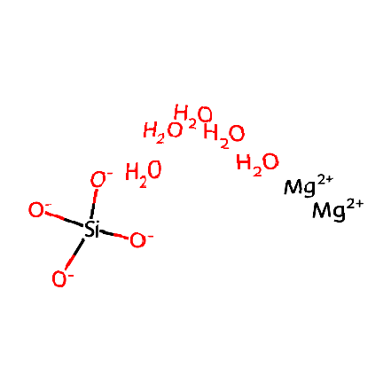 O.O.O.O.O.[Mg+2].[Mg+2].[O-][Si]([O-])([O-])[O-]